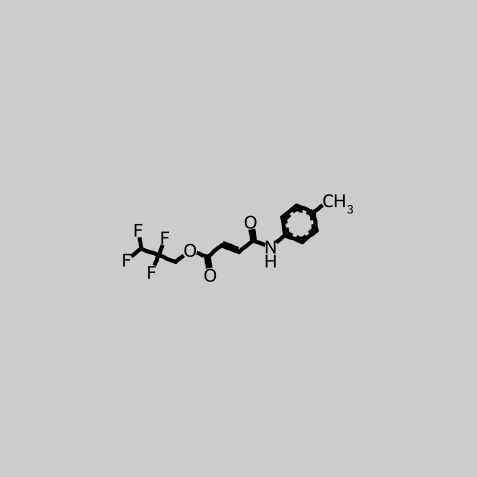 Cc1ccc(NC(=O)/C=C/C(=O)OCC(F)(F)C(F)F)cc1